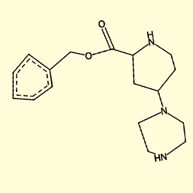 O=C(OCc1ccccc1)C1CC(N2CCNCC2)CCN1